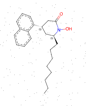 CCCCCCCC[C@H]1C[C@H](c2cccc3ccccc23)CC(=O)N1O